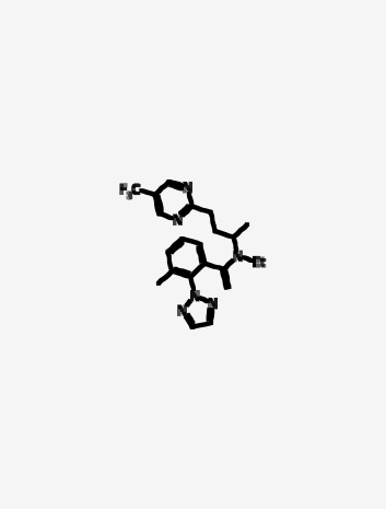 C=C(c1cccc(C)c1-n1nccn1)N(CC)C(C)CCc1ncc(C(F)(F)F)cn1